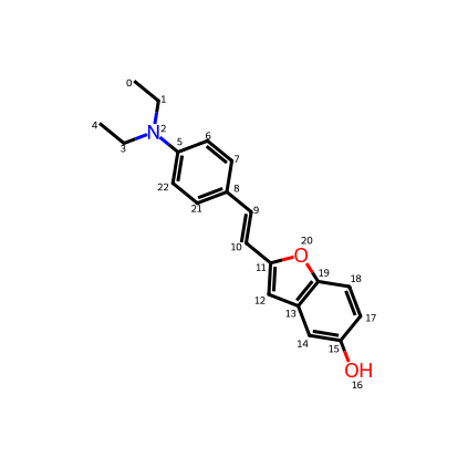 CCN(CC)c1ccc(/C=C/c2cc3cc(O)ccc3o2)cc1